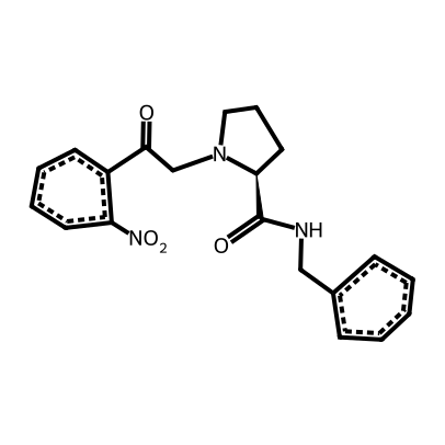 O=C(CN1CCC[C@H]1C(=O)NCc1ccccc1)c1ccccc1[N+](=O)[O-]